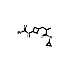 CC(C)C(=O)NC1CC(CC(C)C(=O)NC2CC2)C1